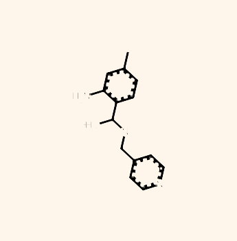 Cc1ccc(C(C=O)NCc2ccncc2)c(N)c1